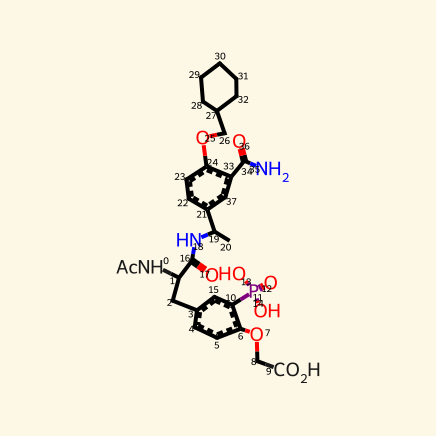 CC(=O)NC(Cc1ccc(OCC(=O)O)c(P(=O)(O)O)c1)C(=O)NC(C)c1ccc(OCC2CCCCC2)c(C(N)=O)c1